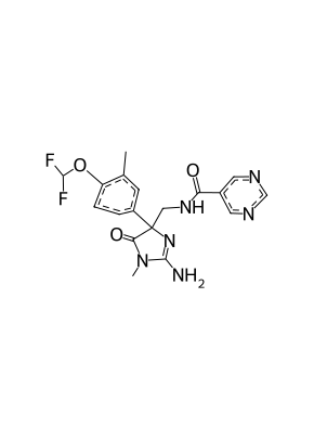 Cc1cc(C2(CNC(=O)c3cncnc3)N=C(N)N(C)C2=O)ccc1OC(F)F